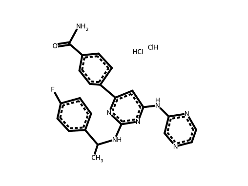 CC(Nc1nc(Nc2cnccn2)cc(-c2ccc(C(N)=O)cc2)n1)c1ccc(F)cc1.Cl.Cl